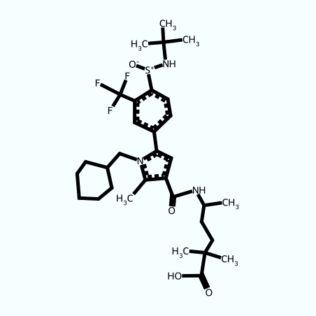 Cc1c(C(=O)NC(C)CCC(C)(C)C(=O)O)cc(-c2ccc([S+]([O-])NC(C)(C)C)c(C(F)(F)F)c2)n1CC1CCCCC1